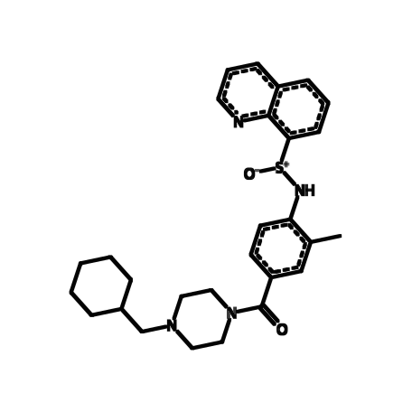 Cc1cc(C(=O)N2CCN(CC3CCCCC3)CC2)ccc1N[S+]([O-])c1cccc2cccnc12